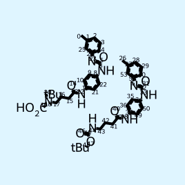 Cc1ccc2oc(Nc3ccc(NC(=O)CCCN(C(=O)O)C(C)(C)C)cc3)nc2c1.Cc1ccc2oc(Nc3ccc(NC(=O)CCCNC(=O)OC(C)(C)C)cc3)nc2c1